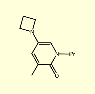 Cc1cc(N2CCC2)cn(C(C)C)c1=O